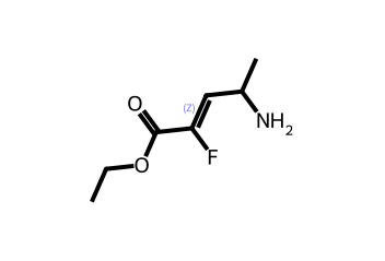 CCOC(=O)/C(F)=C/C(C)N